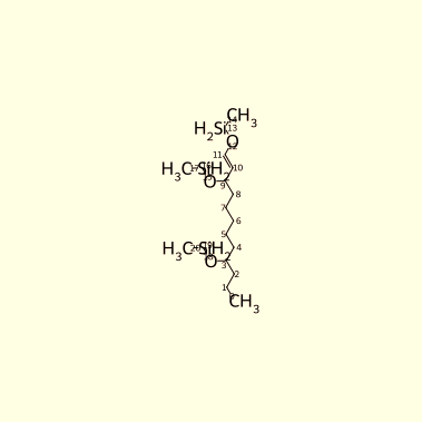 CCCC(CCCCCC(C=CO[SiH2]C)O[SiH2]C)O[SiH2]C